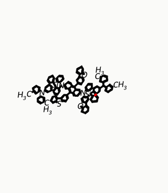 Cc1cccc(C(c2ccc([Si]3(c4ccccc4)c4ccccc4N(c4ccc5c(-c6ccc7sc8ccccc8c7c6)c6cc(N7c8ccccc8[Si](c8ccccc8)(c8ccc(N(c9cccc(C)c9)c9cccc(C)c9)cc8)c8ccccc87)ccc6c(-c6ccc7oc8ccccc8c7c6)c5c4)c4cc5oc6ccccc6c5cc43)cc2)c2cccc(C)c2)c1